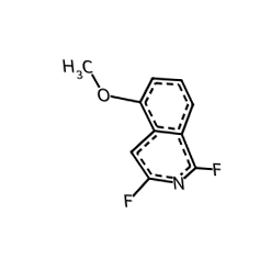 COc1cccc2c(F)nc(F)cc12